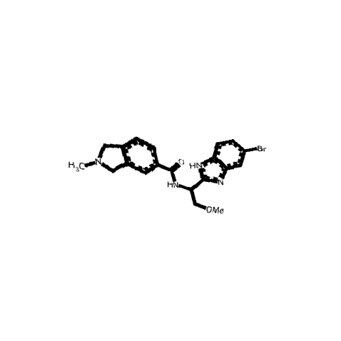 COCC(NC(=O)c1ccc2c(c1)CN(C)C2)c1nc2cc(Br)ccc2[nH]1